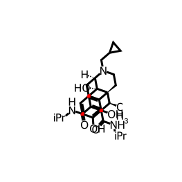 CC(C)NC(=O)C1=C(C(=O)NC(C)C)[C@H](C)[C@]23CCN(CC4CC4)[C@H](Cc4ccc(O)c(O)c42)[C@]3(O)C1